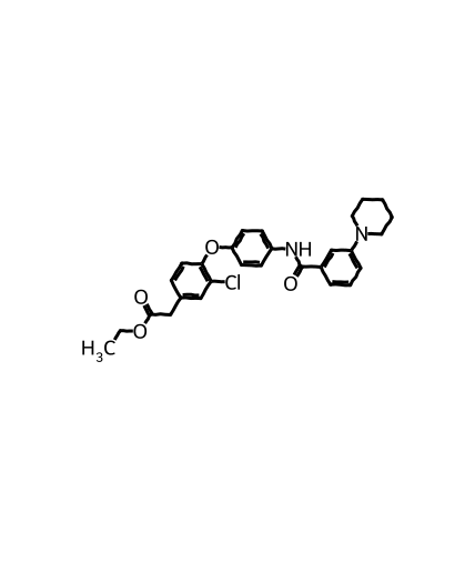 CCOC(=O)Cc1ccc(Oc2ccc(NC(=O)c3cccc(N4CCCCC4)c3)cc2)c(Cl)c1